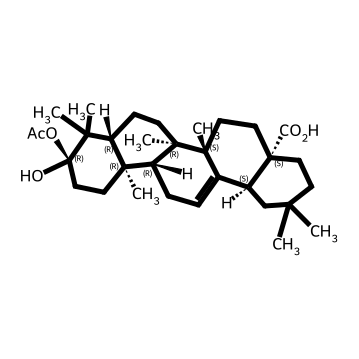 CC(=O)O[C@]1(O)CC[C@]2(C)[C@H]3CC=C4[C@@H]5CC(C)(C)CC[C@]5(C(=O)O)CC[C@@]4(C)[C@]3(C)CC[C@H]2C1(C)C